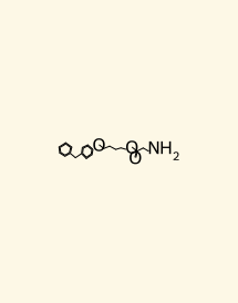 NCCC(=O)OCCCCCOc1ccc(Cc2ccccc2)cc1